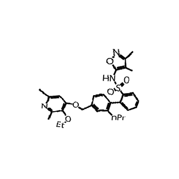 CCCc1cc(COc2cc(C)nc(C)c2OCC)ccc1-c1ccccc1S(=O)(=O)Nc1onc(C)c1C